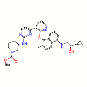 Cc1ccc2c(NC[C@H](O)C3CC3)cccc2c1Oc1ncccc1-c1ccnc(NC2CCCN(C(=O)OC(C)(C)C)C2)n1